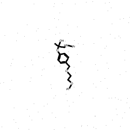 CC(C)NCC(C)(O)Oc1ccc(COCCOC(C)C)cc1